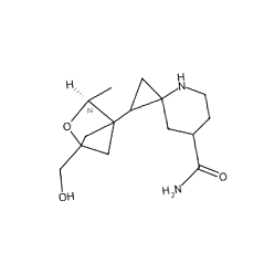 C[C@@H]1OC2(CO)CC1(C1CC13CC(C(N)=O)CCN3)C2